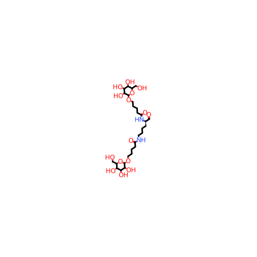 O=C[C@@H](CCCCNC(=O)CCCCOC1OC(CO)C(O)C(O)C1O)NC(=O)CCCCOC1OC(CO)C(O)C(O)C1O